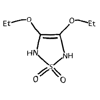 CCOC1=C(OCC)NS(=O)(=O)N1